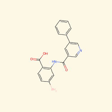 Bc1ccc(C(=O)O)c(NC(=O)c2cncc(-c3ccccc3)c2)c1